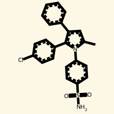 Cc1cc(-c2ccccc2)c(-c2ccc(Cl)cc2)n1-c1ccc(S(N)(=O)=O)cc1